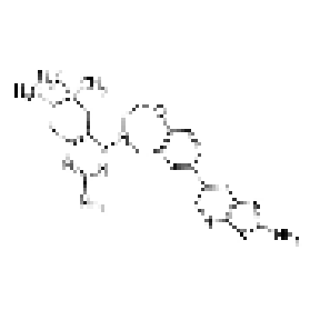 CC1=Cc2nc(N)nc(N3CCOc4ccc(-c5cnc6sc(N)nc6c5)cc4C3)c2CC1(C)C